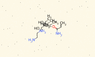 C=CC(N)=O.CC(=O)O.CC(=O)O.CC(=O)O.CC(=O)O.NCCN